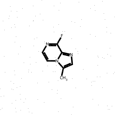 Cc1cnc2c(F)nccn12